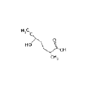 CCC(O)CC[C@@H](C)C(=O)O